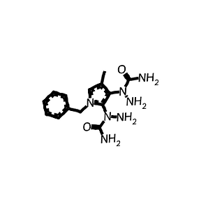 Cc1cn(Cc2ccccc2)c(N(N)C(N)=O)c1N(N)C(N)=O